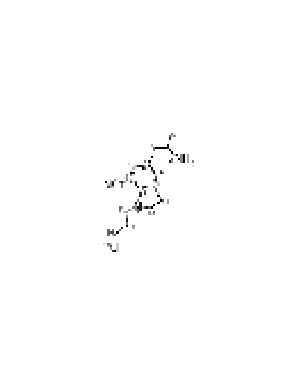 CC(N)Cc1cc(C#N)c2c(c1)CCN2CCCCl